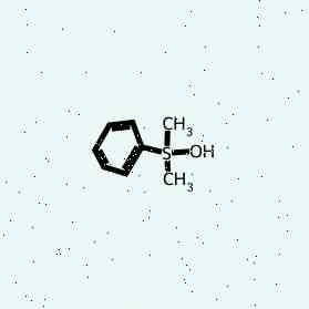 CS(C)(O)c1ccccc1